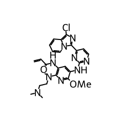 C=CC(=O)Nc1cc(Nc2nccc(-c3nc(Cl)c4ccccn34)n2)c(OC)nc1N(C)CCN(C)C